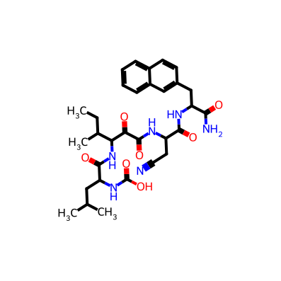 CCC(C)C(NC(=O)C(CC(C)C)NC(=O)O)C(=O)C(=O)NC(CC#N)C(=O)NC(Cc1ccc2ccccc2c1)C(N)=O